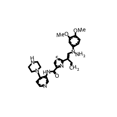 C=C/C(=C\N(N)c1ccc(OC)c(OC)c1)c1nc(C(=O)Nc2cnccc2N2CCNCC2)cs1